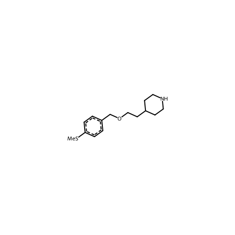 CSc1ccc(COCCC2CCNCC2)cc1